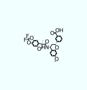 COc1ccc2c(c1)O[C@@H](c1cccc(C(=O)O)c1)C[C@H]2NC(=O)[C@@]1(C)COc2cc3c(cc21)OC(F)(F)O3